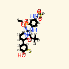 CCOP1(=O)N=C([N+]2(CCC(C)(C)C)C=CC=C(C3=CC=C(O)C(=S)C3)C2=O)Nc2ccc(NS(C)(=O)=O)cc21